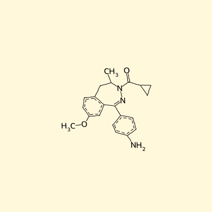 COc1ccc2c(c1)C(c1ccc(N)cc1)=NN(C(=O)C1CC1)C(C)C2